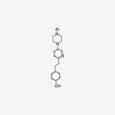 CC(=O)N1CCN(c2ccc(CCc3ccc(O)cc3)nc2)CC1